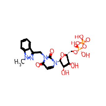 Cn1nc(Cn2c(=O)ccn([C@@H]3O[C@H](COP(=O)(O)OP(=O)(O)O)C(O)[C@@H]3O)c2=O)c2ccccc21